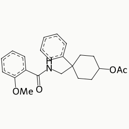 COc1ccccc1C(=O)NCC1(c2ccccc2)CCC(OC(C)=O)CC1